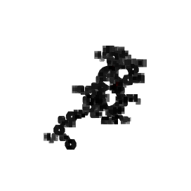 CN[C@H](CC(C)C)C(=O)NC1C(=O)NC(CC(N)=O)C(=O)N[C@H]2C(=O)N[C@H]3C(=O)N[C@H](C(=O)N[C@@H](O)c4cc(O)cc(O)c4-c4cc3ccc4O)[C@H](O[C@H]3C[C@](C)(N)[C@@H](O)[C@H](C)O3)c3ccc(c(Cl)c3)Oc3cc2cc(c3O[C@@H]2O[C@H](CO)[C@@H](O[C@@H]3O[C@H](CNCc4cccc(NC(=O)c5ccc(C)c(OCc6ccccc6)c5)c4)[C@H](O)[C@H](O)[C@H]3O)[C@H](O)[C@H]2O)Oc2ccc(cc2Cl)[C@H]1O